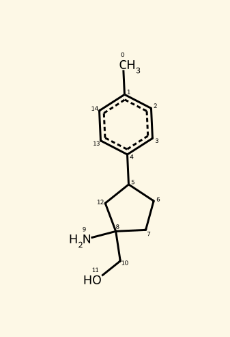 Cc1ccc(C2CCC(N)(CO)C2)cc1